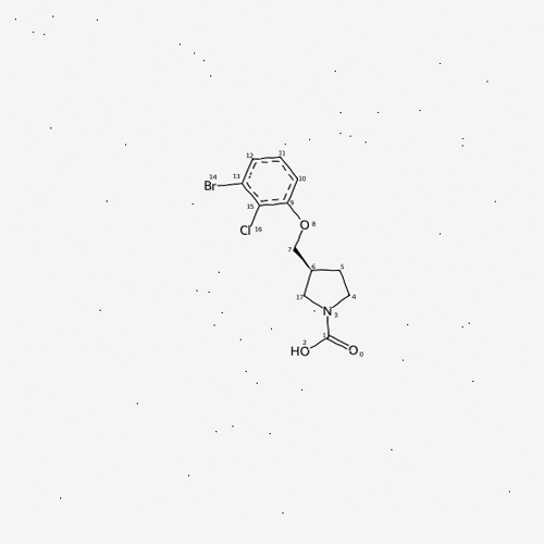 O=C(O)N1CC[C@H](COc2cccc(Br)c2Cl)C1